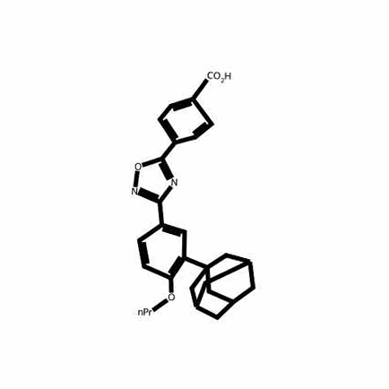 CCCOc1ccc(-c2noc(-c3ccc(C(=O)O)cc3)n2)cc1C12CC3CC(CC(C3)C1)C2